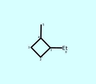 CCC1[CH]CC1C